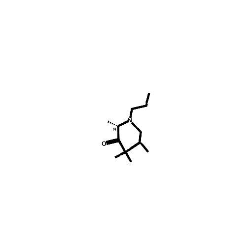 CCCN1CC(C)C(C)(C)C(=O)[C@@H]1C